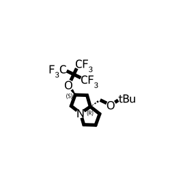 CC(C)(C)OC[C@]12CCCN1C[C@@H](OC(C(F)(F)F)(C(F)(F)F)C(F)(F)F)C2